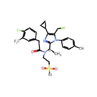 CCS(=O)(=O)CCN(C(=O)Cc1ccc(F)c(C(F)(F)F)c1)[C@H](C)c1nc(C2CC2)c(CF)n1-c1ccc(C#N)cc1